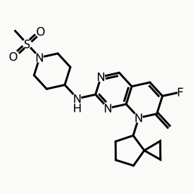 C=C1C(F)=Cc2cnc(NC3CCN(S(C)(=O)=O)CC3)nc2N1C1CCCC12CC2